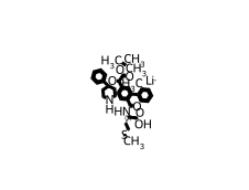 CSCC[C@H](NC(=O)c1ccc(C(OC2(c3ccccc3)CCNCC2)C(=O)OC(C)(C)C)cc1-c1ccccc1C)C(=O)O.[Li]